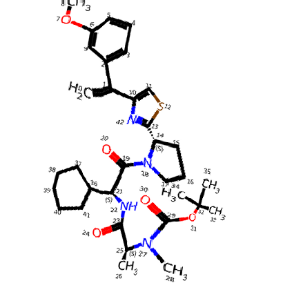 C=C(c1cccc(OC)c1)c1csc([C@@H]2CCCN2C(=O)[C@@H](NC(=O)[C@H](C)N(C)C(=O)OC(C)(C)C)C2CCCCC2)n1